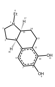 CCN1CC[C@@H]2c3ccc(O)c(O)c3CC[C@@H]21